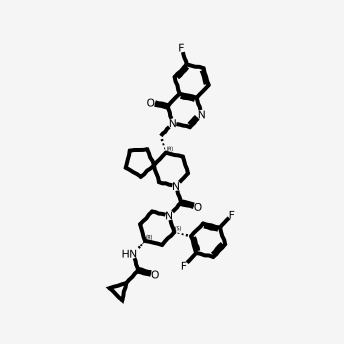 O=C(N[C@@H]1CCN(C(=O)N2CC[C@@H](Cn3cnc4ccc(F)cc4c3=O)C3(CCCC3)C2)[C@H](c2cc(F)ccc2F)C1)C1CC1